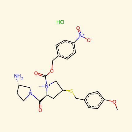 COc1ccc(CS[C@H]2C[C@@H](C(=O)N3CC[C@H](N)C3)[N+](C)(C(=O)OCc3ccc([N+](=O)[O-])cc3)C2)cc1.Cl